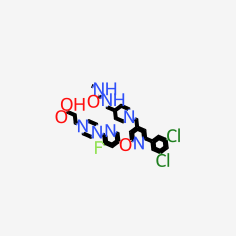 CNC(=O)NCC1CCN(Cc2cc(Oc3cnc(N4CCN(CCC(=O)O)CC4)c(F)c3)nc(-c3cc(Cl)cc(Cl)c3)c2)CC1